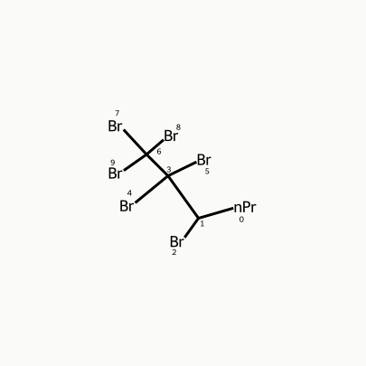 CCCC(Br)C(Br)(Br)C(Br)(Br)Br